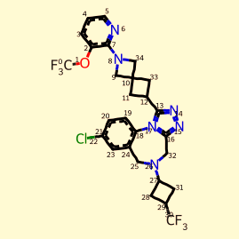 FC(F)(F)Oc1cccnc1N1CC2(CC(c3nnc4n3-c3ccc(Cl)cc3CN(C3CC(C(F)(F)F)C3)C4)C2)C1